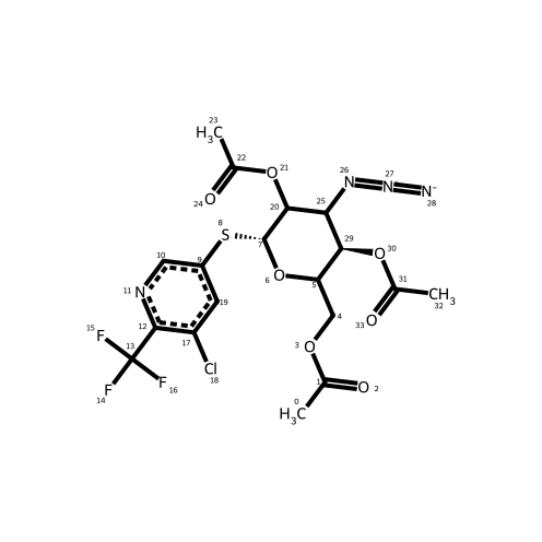 CC(=O)OCC1O[C@H](Sc2cnc(C(F)(F)F)c(Cl)c2)C(OC(C)=O)C(N=[N+]=[N-])[C@H]1OC(C)=O